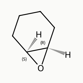 C1CC[C@H]2O[C@H]2C1